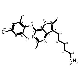 Cc1nc(Oc2c(C)cc(Cl)cc2C)c2sc(C)c(CCCCCN)c2n1